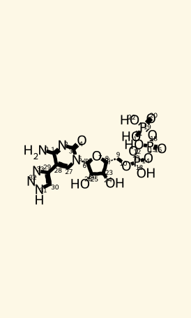 Nc1nc(=O)n([C@@H]2O[C@H](COP(=O)(O)OP(=O)(O)OP(=O)(O)O)C(O)[C@@H]2O)cc1-c1c[nH]nn1